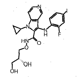 O=C(NOC[C@H](O)CO)c1c(Nc2ccc(I)cc2F)c2cnccc2n1C1CC1